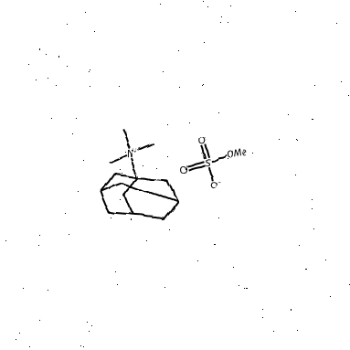 COS(=O)(=O)[O-].C[N+](C)(C)C12CC3CC(CC(C3)C1)C2